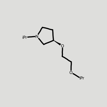 CC(C)OCCO[C@@H]1CCN(C(C)C)C1